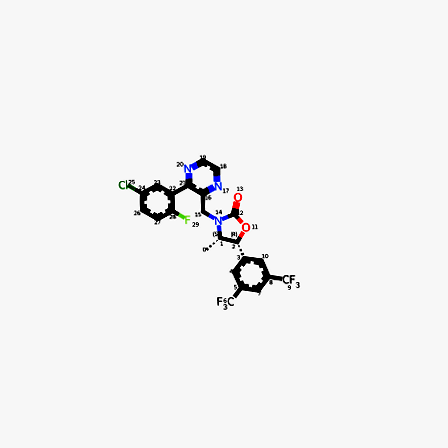 C[C@H]1[C@@H](c2cc(C(F)(F)F)cc(C(F)(F)F)c2)OC(=O)N1Cc1nccnc1-c1cc(Cl)ccc1F